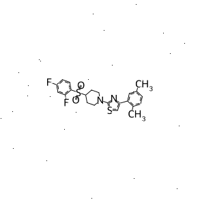 Cc1ccc(C)c(-c2csc(N3CCC(S(=O)(=O)c4ccc(F)cc4F)CC3)n2)c1